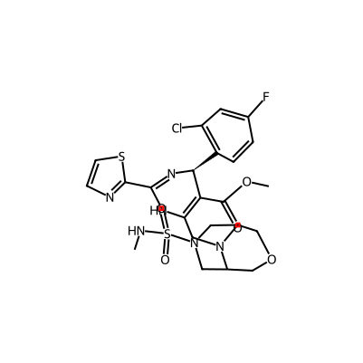 CNS(=O)(=O)N1CC2COCC(C1)N2CC1=C(C(=O)OC)[C@H](c2ccc(F)cc2Cl)N=C(c2nccs2)N1